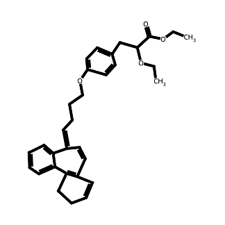 CCOC(=O)C(Cc1ccc(OCCCC=C2C=CC3=C(CCC=C3)c3ccccc32)cc1)OCC